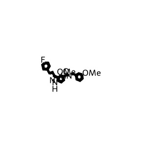 COc1cccc(CNC(=O)c2ccc3[nH]nc(C=Cc4ccc(F)cc4)c3c2OC)c1